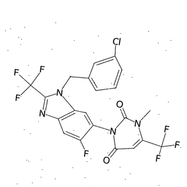 Cn1c(C(F)(F)F)cc(=O)n(-c2cc3c(cc2F)nc(C(F)(F)F)n3Cc2cccc(Cl)c2)c1=O